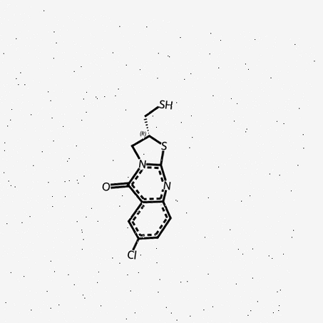 O=c1c2cc(Cl)ccc2nc2n1C[C@H](CS)S2